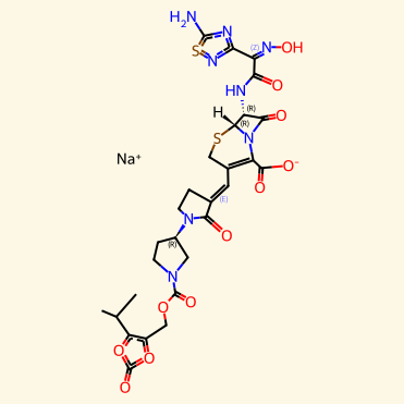 CC(C)c1oc(=O)oc1COC(=O)N1CC[C@@H](N2CC/C(=C\C3=C(C(=O)[O-])N4C(=O)[C@@H](NC(=O)/C(=N\O)c5nsc(N)n5)[C@H]4SC3)C2=O)C1.[Na+]